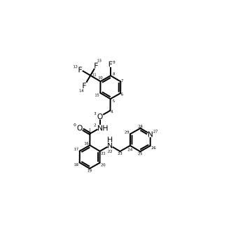 O=C(NOCc1ccc(F)c(C(F)(F)F)c1)c1ccccc1NCc1ccncc1